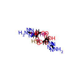 Nc1ncnc2c1ncn2[C@@H]1O[C@@H]2CO[P@@](=O)(S)O[C@@H]3[C@H](O)[C@@H](CO[PH](=O)O[C@H]2[C@H]1O)O[C@H]3n1cnc2c(N)ncnc21